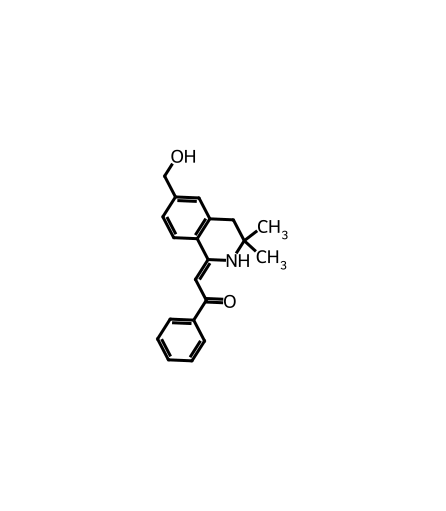 CC1(C)Cc2cc(CO)ccc2/C(=C/C(=O)c2ccccc2)N1